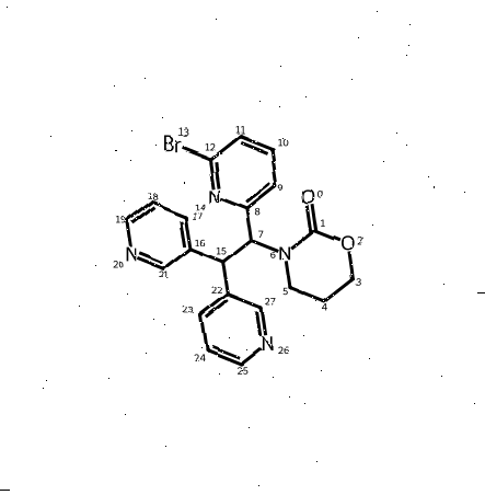 O=C1OCCCN1C(c1cccc(Br)n1)C(c1cccnc1)c1cccnc1